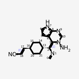 C=N/C(=C1/c2cc[nH]c2N=CN1N)[C@H]1CC[C@H](/C=C/C#N)CC1